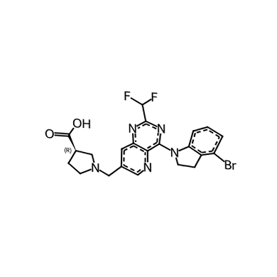 O=C(O)[C@@H]1CCN(Cc2cnc3c(N4CCc5c(Br)cccc54)nc(C(F)F)nc3c2)C1